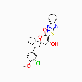 COc1ccc(CCC2(C3CCCC3)CC(O)=C(Sc3nc4ccccc4[nH]3)C(=O)O2)cc1Cl